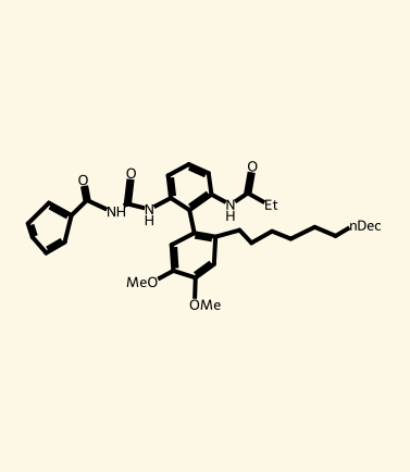 CCCCCCCCCCCCCCCCc1cc(OC)c(OC)cc1-c1c(NC(=O)CC)cccc1NC(=O)NC(=O)c1ccccc1